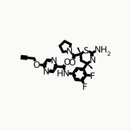 C#CCOc1cnc(C(=O)Nc2cc(F)c(F)c([C@]3(C)C[C@](C)(C(=O)N4CCCC4)SC(N)=N3)c2)cn1